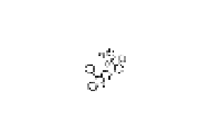 CCc1ccccc1C(=O)ON(CC)CC.c1ccc(-c2c3ccccc3nc3ccccc23)cc1